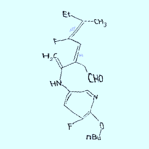 C=C(Nc1cnc(OCCCC)c(F)c1)/C(C=O)=C\C(F)=C(/C)CC